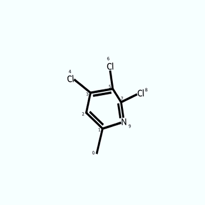 Cc1cc(Cl)c(Cl)c(Cl)n1